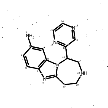 Nc1ccc2nc3n(c2c1)C(c1cnccn1)CNCC3